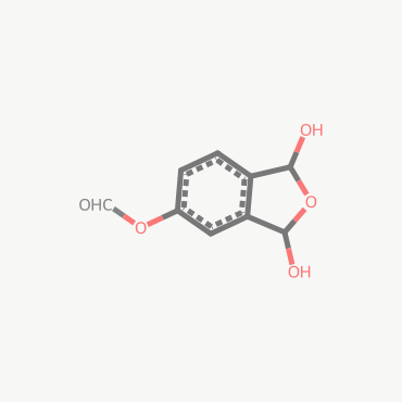 O=COc1ccc2c(c1)C(O)OC2O